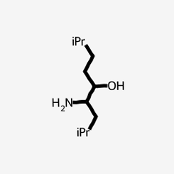 CC(C)CCC(O)C(N)CC(C)C